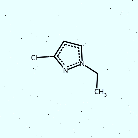 CCn1[c]cc(Cl)n1